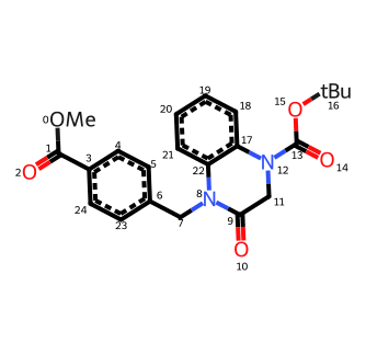 COC(=O)c1ccc(CN2C(=O)CN(C(=O)OC(C)(C)C)c3ccccc32)cc1